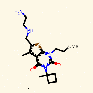 COCCn1c(=O)n(C2(C)CCC2)c(=O)c2c(C)c(CNCCN)sc21